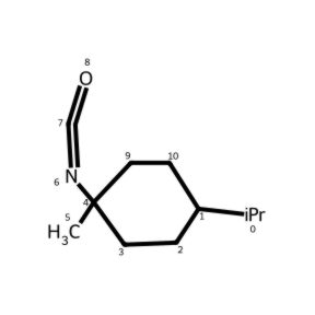 CC(C)C1CCC(C)(N=C=O)CC1